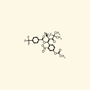 CC(=O)Oc1ccc(C(OC(=O)c2ccc(C(F)(F)F)cc2)=C(C#N)C(=O)C(C)(C)C)c([N+](=O)[O-])c1